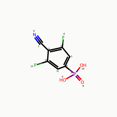 N#Cc1c(F)cc(P(=O)(O)O)cc1F